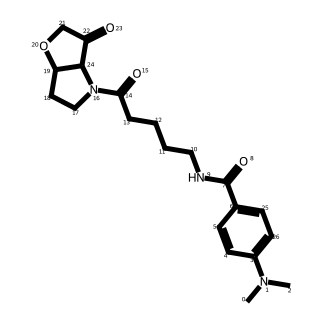 CN(C)c1ccc(C(=O)NCCCCC(=O)N2CCC3OCC(=O)C32)cc1